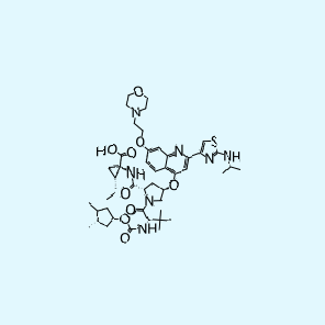 CC[C@@H]1C[C@]1(NC(=O)[C@@H]1C[C@@H](Oc2cc(-c3csc(NC(C)C)n3)nc3cc(OCCN4CCOCC4)ccc23)CN1C(=O)[C@@H](NC(=O)OC1CC(C)[C@@H](C)C1)C(C)(C)C)C(=O)O